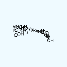 CC(C)C(C(=O)N1CC[C@@H](O)C1)c1cc(N2CC3(CC(N4CCC(c5cnc(N6CCc7[nH]c8nnc(-c9ccccc9O)cc8c7[C@@H]6C)nc5)CC4)C3)C2)no1